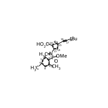 COP(=O)(c1ccc(C)cc1C)N(C)c1cc(C#CC(C)(C)C)sc1C(=O)O